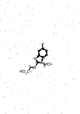 Cc1ccc2c(c1)nc(SCC(=O)O)n2C.Cl